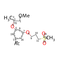 COC[C@H](C)Oc1cc(OCCCS(C)(=O)=O)cc(C(C)=O)c1